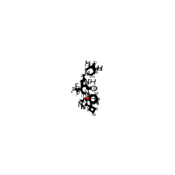 Cn1cnnc1C1(c2cccc(-n3cc(C(F)(F)F)c4cc(CN5CC[C@@H]6C[C@@H]6C5)[nH]c4c3=O)c2)CCC1